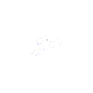 C[C@@H](NC(=O)NC(c1ccc(C(F)(F)F)c(F)c1)c1ncccc1C(F)(F)F)C(F)(F)F